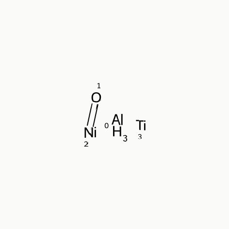 [AlH3].[O]=[Ni].[Ti]